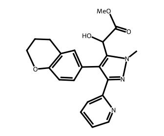 COC(=O)C(O)c1c(-c2ccc3c(c2)CCCO3)c(-c2ccccn2)nn1C